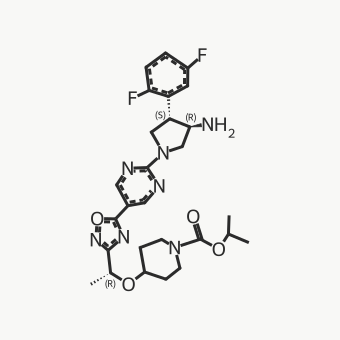 CC(C)OC(=O)N1CCC(O[C@H](C)c2noc(-c3cnc(N4C[C@H](c5cc(F)ccc5F)[C@@H](N)C4)nc3)n2)CC1